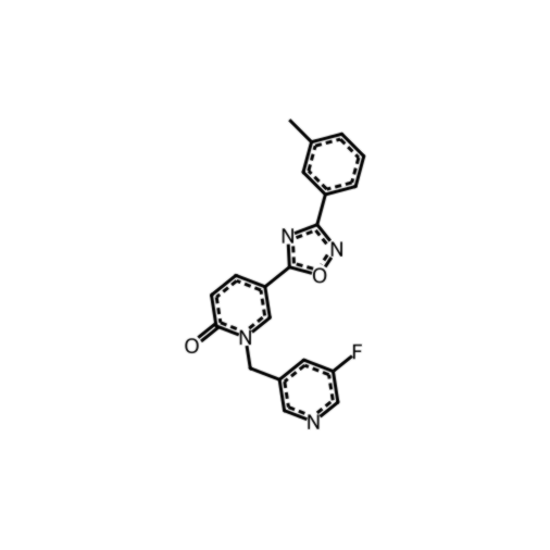 Cc1cccc(-c2noc(-c3ccc(=O)n(Cc4cncc(F)c4)c3)n2)c1